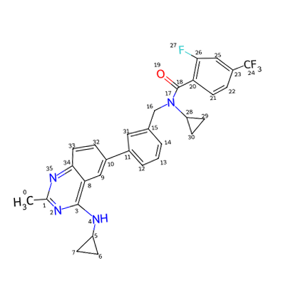 Cc1nc(NC2CC2)c2cc(-c3cccc(CN(C(=O)c4ccc(C(F)(F)F)cc4F)C4CC4)c3)ccc2n1